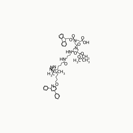 CC(C)(C)OC(=O)CCN(CC(=O)NCCCNC(=O)CCCCC1(C(C)(C)CCCCOc2cc(-c3ccccc3)cc(-c3ccccc3)n2)N=NN=N1)C(=O)CN(CCC(=O)O)C(=O)OCC1c2ccccc2-c2ccccc21